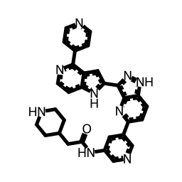 O=C(CC1CCNCC1)Nc1cncc(-c2ccc3[nH]nc(-c4cc5c(-c6ccncc6)nccc5[nH]4)c3n2)c1